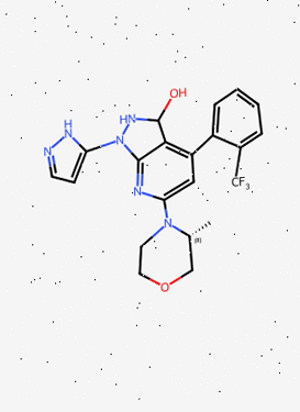 C[C@@H]1COCCN1c1cc(-c2ccccc2C(F)(F)F)c2c(n1)N(c1ccn[nH]1)NC2O